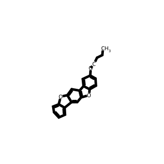 CCCCOc1ccc2oc3cc4c(cc3c2c1)oc1ccccc14